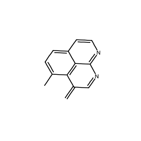 C=c1cnc2nccc3ccc(C)c1c32